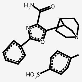 Cc1ccc(S(=O)(=O)O)cc1.NC(=O)c1nc(-c2ccccc2)oc1C1CN2CCC1CC2